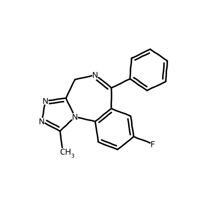 Cc1nnc2n1-c1ccc(F)cc1C(c1ccccc1)=NC2